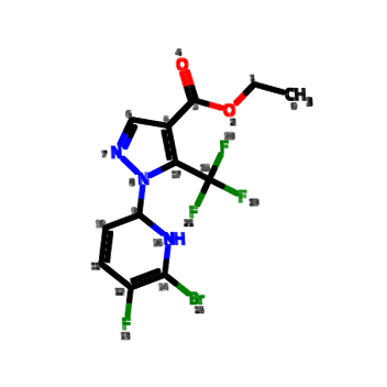 CCOC(=O)c1cnn(C2C=CC(F)=C(Br)N2)c1C(F)(F)F